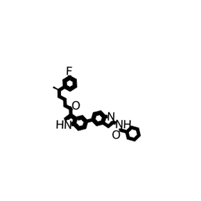 C[C@H](CCCC(=O)c1c[nH]c2ccc(-c3ccc4c(c3)CC(NC(=O)C3CCCCC3)=N4)cc12)c1cccc(F)c1